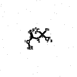 CCOC(=S)SC(F)(C(F)(F)F)C(F)(F)F